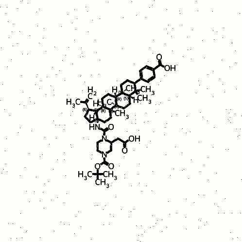 C=C(C)[C@@H]1CC[C@]2(NC(=O)N3CCN(C(=O)OC(C)(C)C)CC3CC(=O)O)CC[C@]3(C)[C@H](CC[C@@H]4[C@@]5(C)CCC(c6ccc(C(=O)O)cc6)C(C)(C)[C@@H]5CC[C@]43C)[C@@H]12